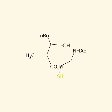 CC(=O)NCCS.CCCCC(O)C(C)C(=O)O